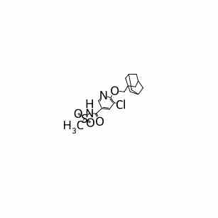 CS(=O)(=O)NC(=O)c1cnc(OCC23CC4CC(CC(C4)C2)C3)c(Cl)c1